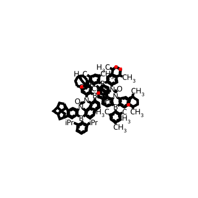 Cc1cc(C)c(B2c3cc4c(cc3N3C(=O)N5c6cc7c(cc6B(c6c(C)cc(C)c(C8C9CC%10CC8CC(C9)c8cc9c(cc8%10)B(c8c(C(C)C)cccc8C(C)C)c8ccc%10ccc%11c%12c%10c8N9C(=O)N%12c8cc9c(cc8B%11c8c(C(C)C)cccc8C(C)C)C8CC%10CC%11CC9CC%10%11C8)c6C)c6ccc8ccc2c3c8c65)C2(C)CCC7(C)CC2)C2(C)CCC4(C)CC2)c(C)c1